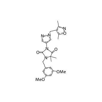 COc1cc(CN2C(=O)N(c3cnn(Cc4c(C)noc4C)c3)C(=O)C2(C)C)cc(OC)c1